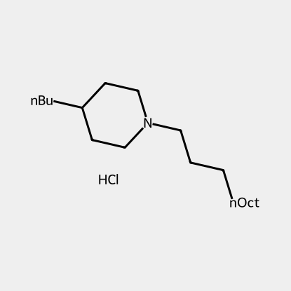 CCCCCCCCCCCN1CCC(CCCC)CC1.Cl